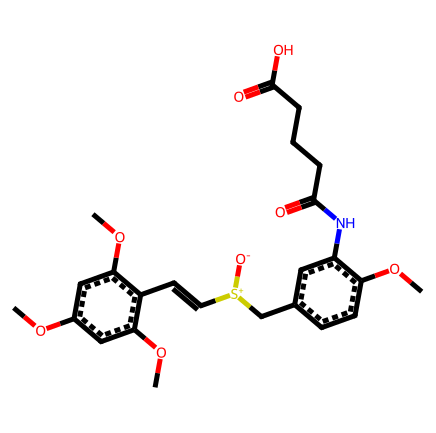 COc1cc(OC)c(C=C[S+]([O-])Cc2ccc(OC)c(NC(=O)CCCC(=O)O)c2)c(OC)c1